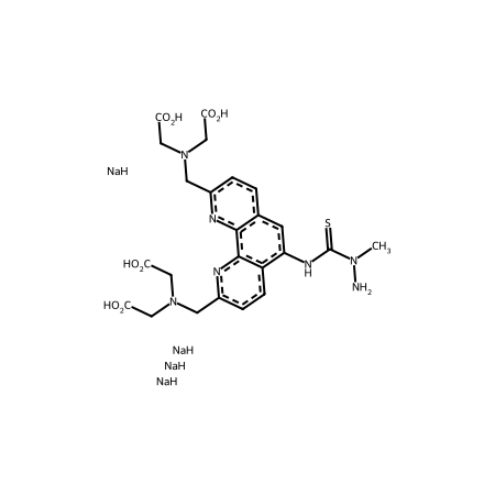 CN(N)C(=S)Nc1cc2ccc(CN(CC(=O)O)CC(=O)O)nc2c2nc(CN(CC(=O)O)CC(=O)O)ccc12.[NaH].[NaH].[NaH].[NaH]